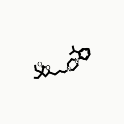 CCC1(CC)CC(CCCN2CCN(c3ccccc3C(C)C)CC2)OC1=O